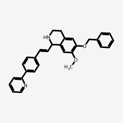 COc1cc2c(cc1OCc1ccccc1)CCNC2C=Cc1ccc(-c2ccccn2)cc1